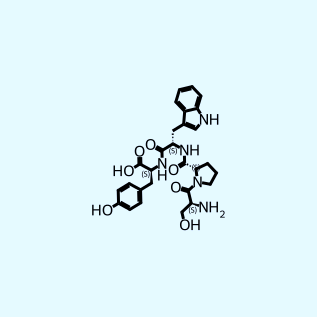 N[C@@H](CO)C(=O)N1CCC[C@H]1C(=O)N[C@@H](Cc1c[nH]c2ccccc12)C(=O)N[C@@H](Cc1ccc(O)cc1)C(=O)O